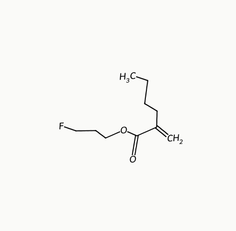 C=C(CCCC)C(=O)OCCCF